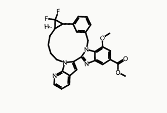 COC(=O)c1cc(OC)c2c(c1)nc1n2Cc2cccc(c2)C2[C@@H](CCCCn3c-1cc1cccnc13)C2(F)F